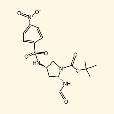 CC(C)(C)OC(=O)N1C[C@H](NS(=O)(=O)c2ccc([N+](=O)[O-])cc2)C[C@H]1NC=O